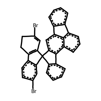 BrC1=CC2=C(CC1)c1ccc(Br)cc1C21c2ccccc2-c2c1cc1c3c(cccc23)-c2ccccc2-1